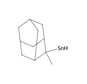 C[C]1([SnH])C2CC3CC(C2)CC1C3